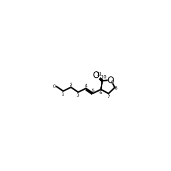 CCCCC=CC1CCOC1=O